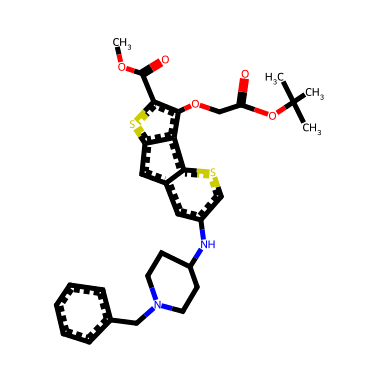 COC(=O)c1sc2cc3cc(NC4CCN(Cc5ccccc5)CC4)csc-3c2c1OCC(=O)OC(C)(C)C